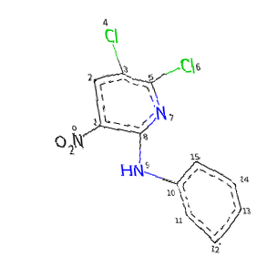 O=[N+]([O-])c1cc(Cl)c(Cl)nc1Nc1c[c]ccc1